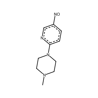 CN1CCN(c2ccc(N=O)cn2)CC1